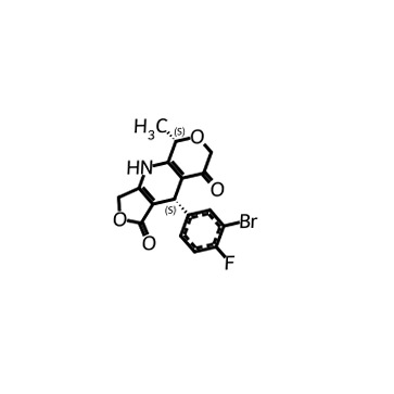 C[C@@H]1OCC(=O)C2=C1NC1=C(C(=O)OC1)[C@H]2c1ccc(F)c(Br)c1